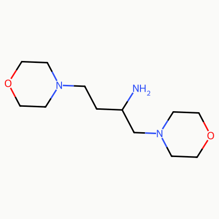 NC(CCN1CCOCC1)CN1CCOCC1